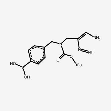 CC(C)(C)OC(=O)N(C/C(=C/N)N=N)Cc1ccc(B(O)O)cc1